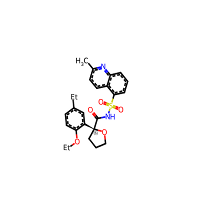 CCOc1ccc(CC)cc1[C@]1(C(=O)NS(=O)(=O)c2cccc3nc(C)ccc23)CCCO1